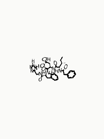 CC[C@H](C)[C@H](NC(=O)Cc1ccccc1)C(=O)N[C@H](CC(O)O)C(=O)N1c2ccccc2C[C@H]1C(=O)NCc1nn[nH]n1